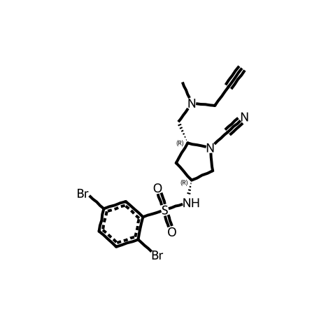 C#CCN(C)C[C@H]1C[C@@H](NS(=O)(=O)c2cc(Br)ccc2Br)CN1C#N